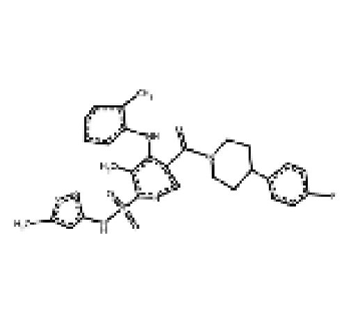 Cc1cc(NS(=O)(=O)c2ncc(C(=O)N3CCC(c4ccc(F)cc4)CC3)c(Nc3ccccc3C)c2C)sn1